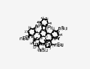 CCCCc1ccc(CCC)c(-c2c(-c3c(CCC)ccc(CCCC)c3CCC)c(-c3c(CCC)ccc(CCCC)c3CCC)c3c(c2-c2c(CCC)ccc(CCCC)c2CCC)=c2ccccc2=3)c1CCC